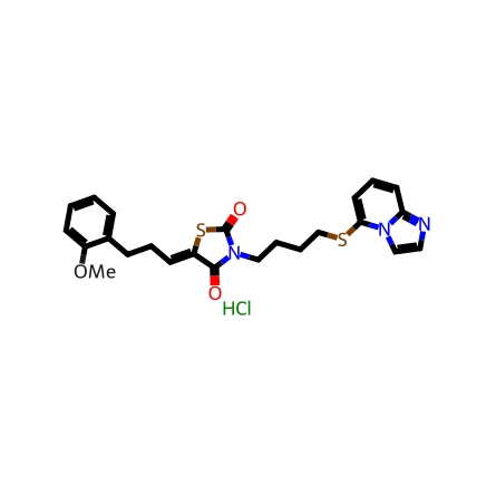 COc1ccccc1CCC=C1SC(=O)N(CCCCSc2cccc3nccn23)C1=O.Cl